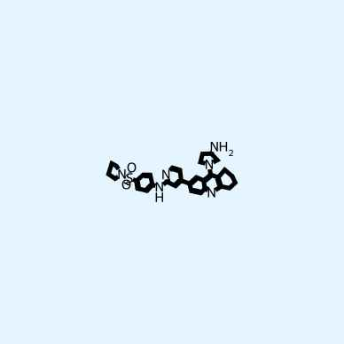 NC1CCN(c2c3c(nc4ccc(-c5ccnc(Nc6ccc(S(=O)(=O)N7CCCC7)cc6)c5)cc24)CCCC3)C1